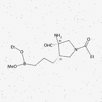 CCOB(CCC[C@H]1CN(C(=O)CC)C[C@@]1(N)C=O)OC